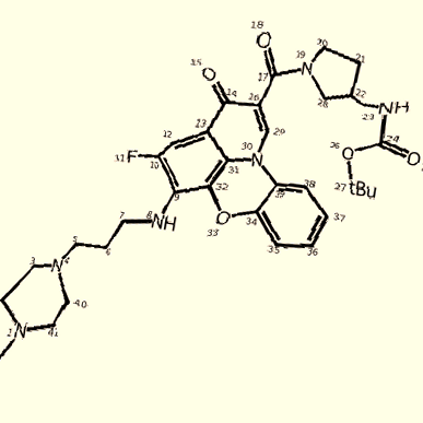 CN1CCN(CCCNc2c(F)cc3c(=O)c(C(=O)N4CCC(NC(=O)OC(C)(C)C)C4)cn4c3c2Oc2ccccc2-4)CC1